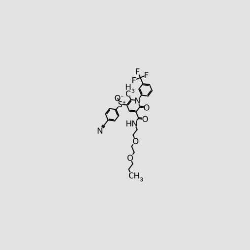 CCCOCCOCCNC(=O)c1cc([S+]([O-])c2ccc(C#N)cc2)c(C)n(-c2cccc(C(F)(F)F)c2)c1=O